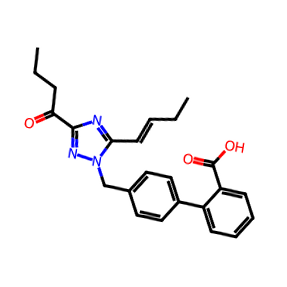 CCC=Cc1nc(C(=O)CCC)nn1Cc1ccc(-c2ccccc2C(=O)O)cc1